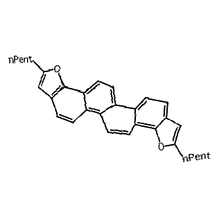 CCCCCc1cc2ccc3c4ccc5c(ccc6cc(CCCCC)oc65)c4ccc3c2o1